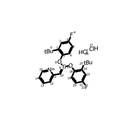 CC(C)(C)c1cc(F)ccc1[O][Ti](=[CH]c1ccccn1)[O]c1ccc(F)cc1C(C)(C)C.Cl.Cl